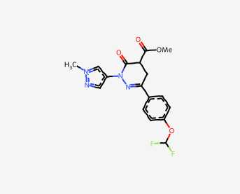 COC(=O)C1CC(c2ccc(OC(F)F)cc2)=NN(c2cnn(C)c2)C1=O